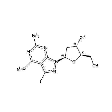 COc1nc(N)nc2c1c(I)nn2[C@H]1C[C@H](O)[C@@H](CO)O1